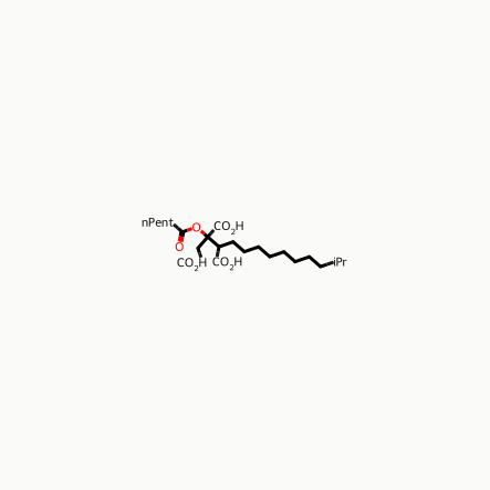 CCCCCC(=O)OC(CC(=O)O)(C(=O)O)C(CCCCCCCCC(C)C)C(=O)O